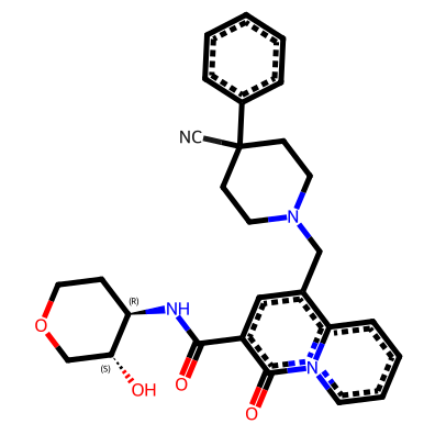 N#CC1(c2ccccc2)CCN(Cc2cc(C(=O)N[C@@H]3CCOC[C@H]3O)c(=O)n3ccccc23)CC1